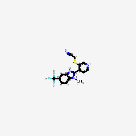 Cn1c(-c2ccncc2SCC#N)nc2cc(C(F)(F)F)ccc21